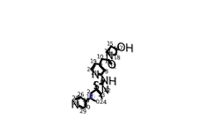 C/C(=C\c1sc(Nc2cc(CC(=O)N3CCC(O)C3)ccn2)nc1C)c1ccncc1